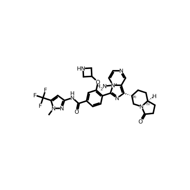 Cn1nc(NC(=O)c2ccc(C3=NC([C@@H]4CC[C@H]5CCC(=O)N5C4)=C4C=NC=C[N+]34N)c(OC3CNC3)c2)cc1C(F)(F)F